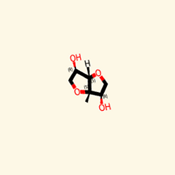 C[C@@]12OC[C@@H](O)[C@@H]1OC[C@H]2O